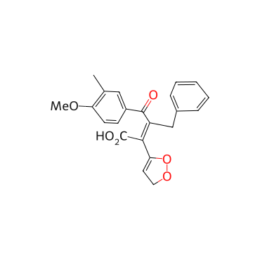 COc1ccc(C(=O)C(Cc2ccccc2)=C(C(=O)O)C2=CCOO2)cc1C